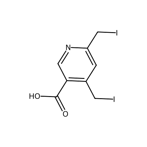 O=C(O)c1cnc(CI)cc1CI